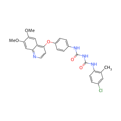 COc1cc2nccc(Oc3ccc(NC(=O)NC(=O)Nc4ccc(Cl)cc4C)cc3)c2cc1OC